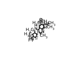 Cc1nc(N[C@H](C)c2cccc(C(F)(F)F)c2C)c2cc(P(C)(C)=O)c(NC(C)C)cc2n1